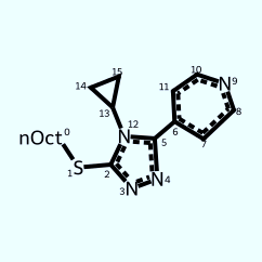 CCCCCCCCSc1nnc(-c2ccncc2)n1C1CC1